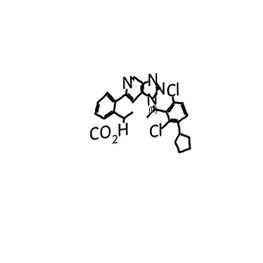 CC(C(=O)O)c1ccccc1-c1cc2c(cn1)nnn2[C@H](C)c1c(Cl)ccc(C2CCCC2)c1Cl